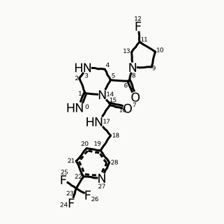 N=C1CNCC(C(=O)N2CCC(F)C2)N1C(=O)NCc1ccc(C(F)(F)F)nc1